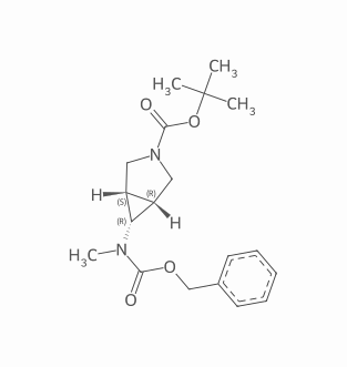 CN(C(=O)OCc1ccccc1)[C@@H]1[C@@H]2CN(C(=O)OC(C)(C)C)C[C@@H]21